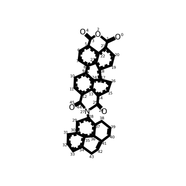 O=C1OC(=O)c2ccc3c4ccc5c6c(ccc(c7ccc1c2c73)c64)C(=O)N(c1cc2cccc3c2c2c1CC=CC2=CC3)C5=O